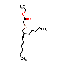 CCCCC/C=C(\CCCCC)CSCC(=O)OCC